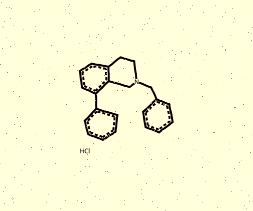 Cl.c1ccc(CN2CCc3cccc(-c4ccccc4)c3C2)cc1